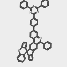 c1ccc(-c2nc(-c3ccccc3)nc(-c3ccc(-c4ccc5c(c4)nc(-c4ccccc4)c4cc6c(cc45)C4(c5ccccc5Sc5ccccc54)c4ccccc4-6)cc3)n2)cc1